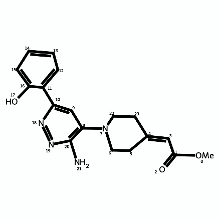 COC(=O)C=C1CCN(c2cc(-c3ccccc3O)nnc2N)CC1